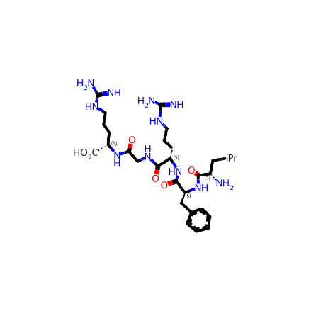 CC(C)C[C@H](N)C(=O)N[C@@H](Cc1ccccc1)C(=O)N[C@@H](CCCNC(=N)N)C(=O)NCC(=O)N[C@@H](CCCNC(=N)N)C(=O)O